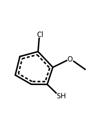 COc1c(S)cccc1Cl